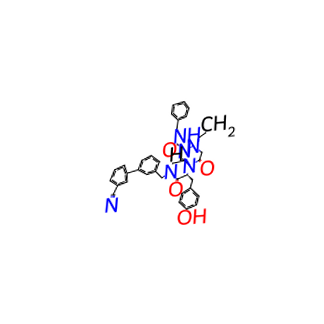 C=CCN1CC(=O)N2[C@@H](Cc3ccc(O)cc3)C(=O)N(Cc3cccc(-c4cccc(C#N)c4)c3)C[C@@H]2N1C(=O)NCc1ccccc1